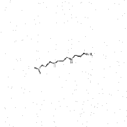 CN(C)CCCNCCCNCCCN